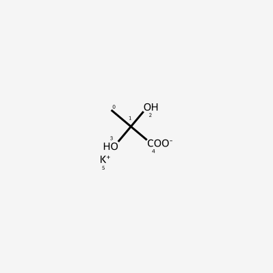 CC(O)(O)C(=O)[O-].[K+]